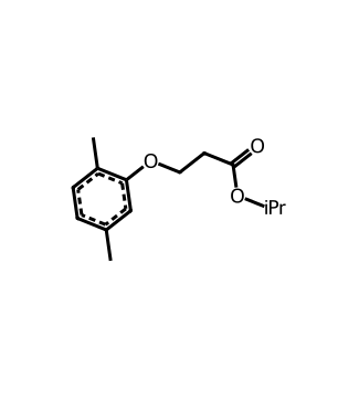 Cc1ccc(C)c(OCCC(=O)OC(C)C)c1